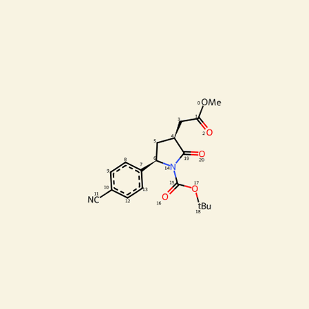 COC(=O)C[C@@H]1C[C@H](c2ccc(C#N)cc2)N(C(=O)OC(C)(C)C)C1=O